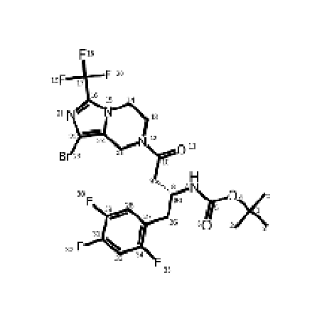 CC(C)(C)OC(=O)N[C@@H](CC(=O)N1CCn2c(C(F)(F)F)nc(Br)c2C1)Cc1cc(F)c(F)cc1F